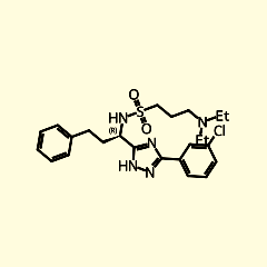 CCN(CC)CCCS(=O)(=O)N[C@H](CCc1ccccc1)c1nc(-c2cccc(Cl)c2)n[nH]1